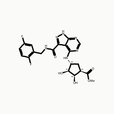 COC(=O)[C@@H]1C[C@@H](Nc2ncnc3[nH]nc(C(=O)NCc4cc(F)ccc4F)c23)[C@H](O)[C@@H]1O